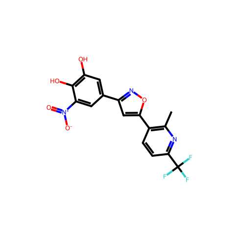 Cc1nc(C(F)(F)F)ccc1-c1cc(-c2cc(O)c(O)c([N+](=O)[O-])c2)no1